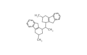 CC1CC2=C(Cc3ccccc32)C(C(C)C2CC(C)CC3=C2Cc2ccccc23)C1